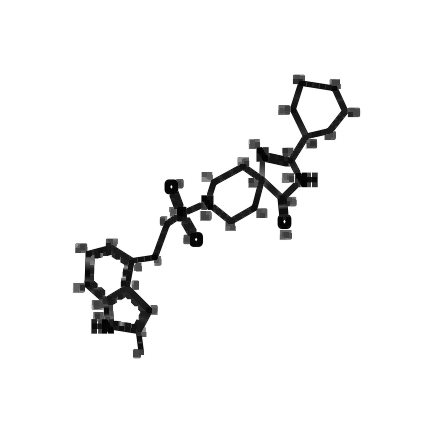 Cc1cc2c(CCS(=O)(=O)N3CCC4(CC3)N=C(C3CCCCC3)NC4=O)cccc2[nH]1